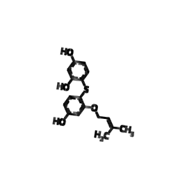 CC(C)=CCOc1cc(O)ccc1Sc1ccc(O)cc1O